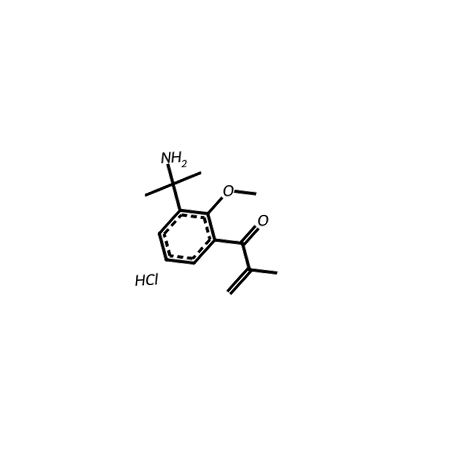 C=C(C)C(=O)c1cccc(C(C)(C)N)c1OC.Cl